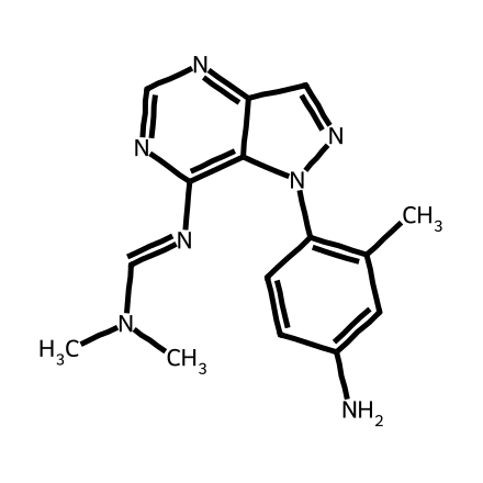 Cc1cc(N)ccc1-n1ncc2ncnc(/N=C/N(C)C)c21